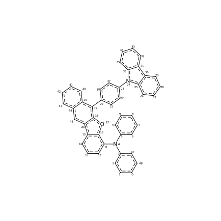 c1ccc(N(c2ccccc2)c2cccc3c2oc2c(-c4ccc(-n5c6ccccc6c6ccccc65)cc4)c4ccccc4cc23)cc1